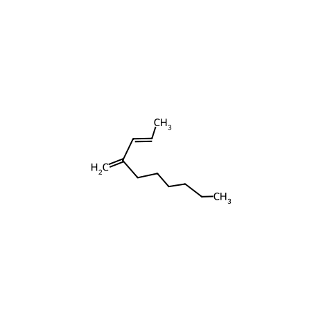 C=C(C=CC)CCCCCC